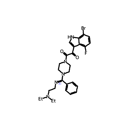 CCN(CC)CC/N=C(\c1ccccc1)N1CCN(C(=O)C(=O)c2c[nH]c3c(Br)ccc(F)c23)CC1